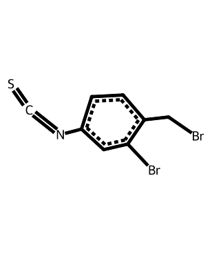 S=C=Nc1ccc(CBr)c(Br)c1